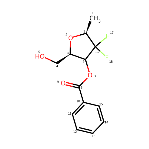 C[C@@H]1O[C@H](CO)C(OC(=O)c2ccccc2)C1(F)F